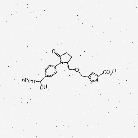 CCCCCC(O)c1ccc(N2C(=O)CCC2COCc2cc(C(=O)O)cs2)cc1